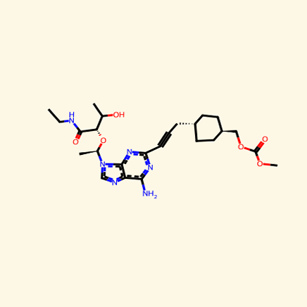 CCNC(=O)[C@@H](O[C@H](C)n1cnc2c(N)nc(C#CC[C@H]3CC[C@H](COC(=O)OC)CC3)nc21)C(C)O